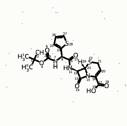 CC(C)(C)OC(=O)NC(C(=O)N[C@@H]1C(=O)N2C(C(=O)O)=CCS[C@@H]12)c1cccs1